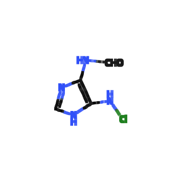 O=CNc1nc[nH]c1NCl